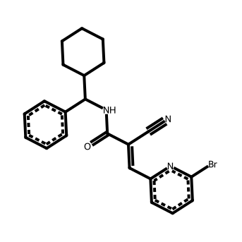 N#C/C(=C\c1cccc(Br)n1)C(=O)NC(c1ccccc1)C1CCCCC1